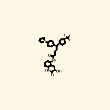 O=C(C=CC=C(c1ccc(-n2cccc2)cc1)c1ccc(C(F)(F)F)cc1)Nc1cccc2c1CC(O)C(=O)N2